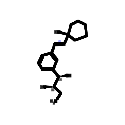 NC[C@H](O)[C@@H](O)c1cccc(/C=C/C2(O)CCCCC2)c1